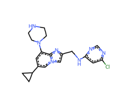 Clc1cc(NCc2cn3cc(C4CC4)cc(N4CCNCC4)c3n2)ncn1